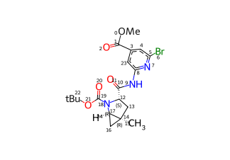 COC(=O)c1cc(Br)nc(NC(=O)[C@@H]2C[C@@]3(C)C[C@H]3N2C(=O)OC(C)(C)C)c1